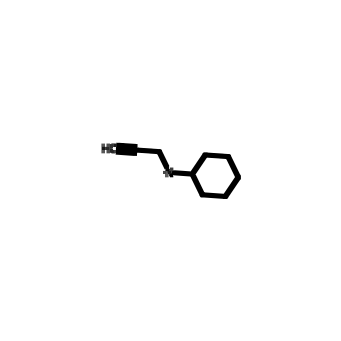 C#CC[N]C1CCCCC1